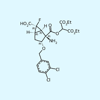 CCOC(=O)C(OC(=O)[C@@]1(N)[C@H]2[C@@H](C[C@H]1OCc1ccc(Cl)c(Cl)c1)[C@]2(F)C(=O)O)C(=O)OCC